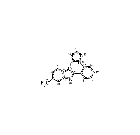 FC(F)(F)c1ccc2oc(-c3ccncc3-n3cncn3)nc2c1